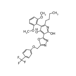 CCCCc1nc(O)c(-c2nnc(COc3ccc(C(F)(F)F)cc3)o2)c(O)c1-c1c(OC)cccc1OC